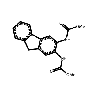 COC(=O)Nc1cc2c(cc1NC(=O)OC)-c1ccccc1C2